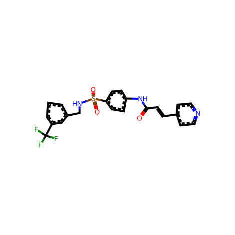 O=C(/C=C/c1ccncc1)Nc1ccc(S(=O)(=O)NCc2cccc(C(F)(F)F)c2)cc1